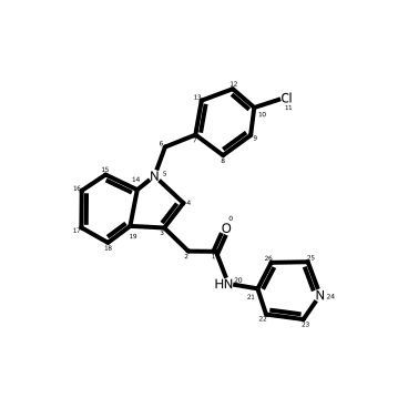 O=C(Cc1cn(Cc2ccc(Cl)cc2)c2ccccc12)Nc1ccncc1